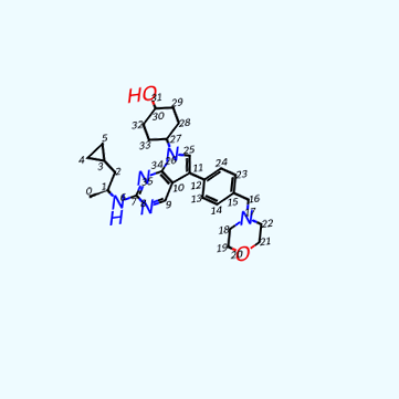 C[C@@H](CC1CC1)Nc1ncc2c(-c3ccc(CN4CCOCC4)cc3)cn(C3CCC(O)CC3)c2n1